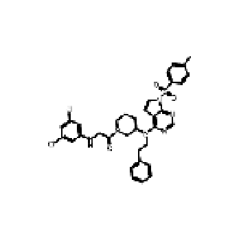 Cc1ccc(S(=O)(=O)n2ccc3c(N(CCc4ccccc4)C4CCCN(C(=O)CNc5cc(Cl)cc(Cl)c5)C4)ncnc32)cc1